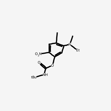 CCN(C)c1cc(OC(=O)NC(C)(C)C)c([N+](=O)[O-])cc1C